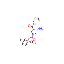 CCOC(=O)[C@@H]1CN(C(=O)OC(C)(C)C)C[C@H]1N